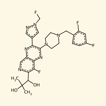 CC(C)(O)C(O)c1ncc2nc(-c3cnn(CF)c3)c(N3CCN(Cc4ccc(F)cc4F)CC3)nc2c1F